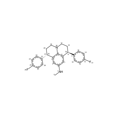 CNc1cc2c3c(c1)[C@H](c1ccc(F)cc1)CCN3CC[C@H]2c1ccc(F)cc1